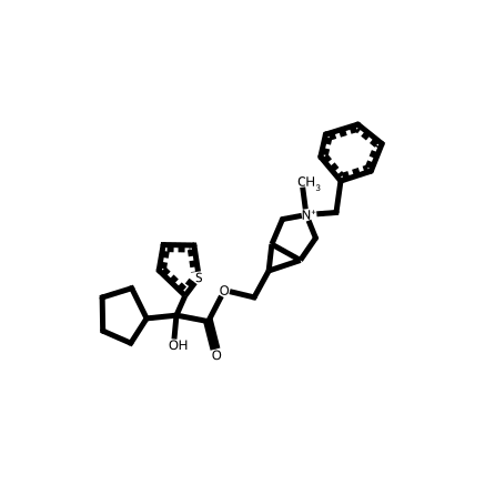 C[N+]1(Cc2ccccc2)CC2C(COC(=O)C(O)(c3cccs3)C3CCCC3)C2C1